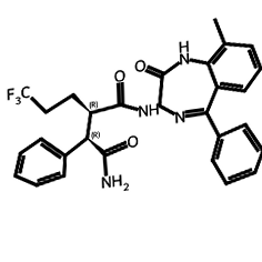 Cc1cccc2c1NC(=O)C(NC(=O)[C@H](CCC(F)(F)F)[C@@H](C(N)=O)c1ccccc1)N=C2c1ccccc1